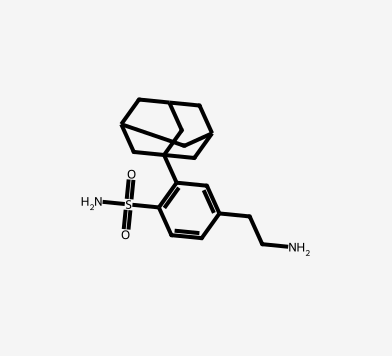 NCCc1ccc(S(N)(=O)=O)c(C23CC4CC(CC(C4)C2)C3)c1